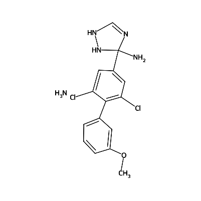 COc1cccc(-c2c(Cl)cc(C3(N)N=CNN3)cc2Cl)c1.N